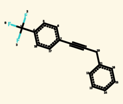 FC(F)(F)c1ccc(C#CCc2ccccc2)cc1